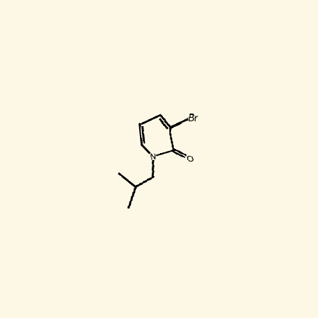 CC(C)Cn1cccc(Br)c1=O